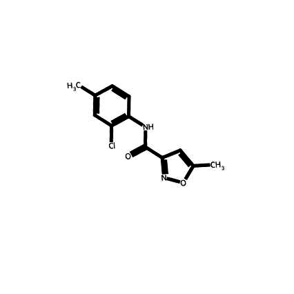 Cc1ccc(NC(=O)c2cc(C)on2)c(Cl)c1